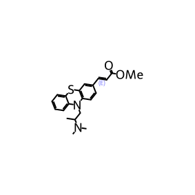 COC(=O)/C=C/c1ccc2c(c1)Sc1ccccc1N2CC(C)N(C)C